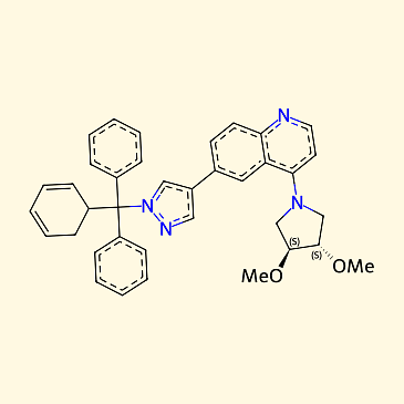 CO[C@H]1CN(c2ccnc3ccc(-c4cnn(C(c5ccccc5)(c5ccccc5)C5C=CC=CC5)c4)cc23)C[C@@H]1OC